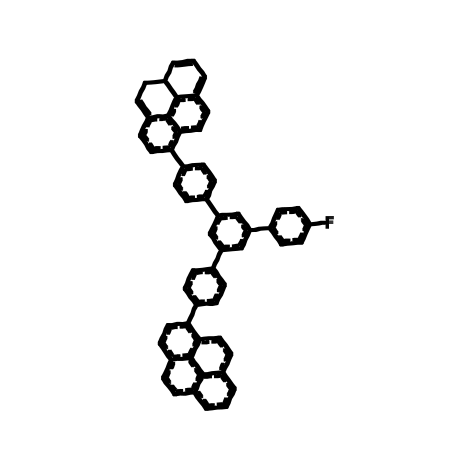 Fc1ccc(-c2cc(-c3ccc(-c4ccc5c6c7c(ccc46)=CC=CC7CC=5)cc3)cc(-c3ccc(-c4ccc5ccc6cccc7ccc4c5c67)cc3)c2)cc1